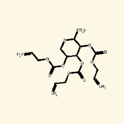 C=CCOC(=O)OC1COC(C(=O)O)C(OC(=O)OCC=C)C1OC(=O)OCC=C